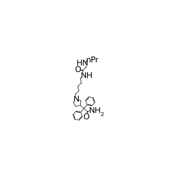 CCCNCC(=O)NCCCCCN1CCC(C(C(N)=O)(c2ccccc2)c2ccccc2)C1